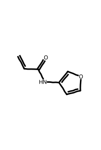 C=CC(=O)Nc1ccoc1